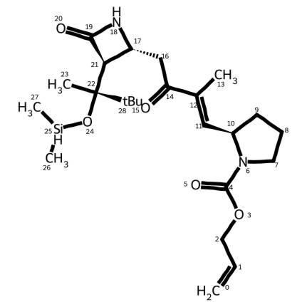 C=CCOC(=O)N1CCC[C@@H]1/C=C(\C)C(=O)C[C@H]1NC(=O)[C@@H]1[C@@](C)(O[SiH](C)C)C(C)(C)C